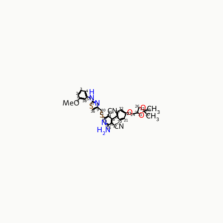 COc1cccc(Nc2nc(CSc3nc(N)c(C#N)c(-c4ccc(OCC5COC(C)(C)O5)cc4)c3C#N)cs2)c1